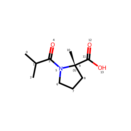 CC(C)C(=O)N1CCC[C@@]1(C)C(=O)O